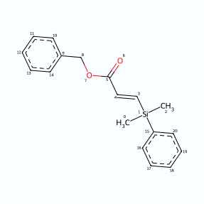 C[Si](C)(C=CC(=O)OCc1ccccc1)c1ccccc1